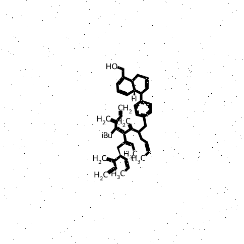 C=CC(=C)/C(=C(C(=C)C(C/C=C\C)Cc1ccc(C2C=CCC3C(CO)=CC=C[C@H]32)cc1)/C(=C/C)C[C@@H](/C=C\C)C(=C)C=C)C(C)CC